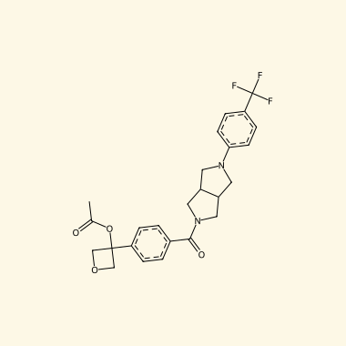 CC(=O)OC1(c2ccc(C(=O)N3CC4CN(c5ccc(C(F)(F)F)cc5)CC4C3)cc2)COC1